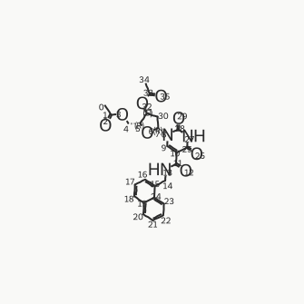 CC(=O)OC[C@H]1O[C@@H](n2cc(C(=O)NCc3cccc4ccccc34)c(=O)[nH]c2=O)C[C@@H]1OC(C)=O